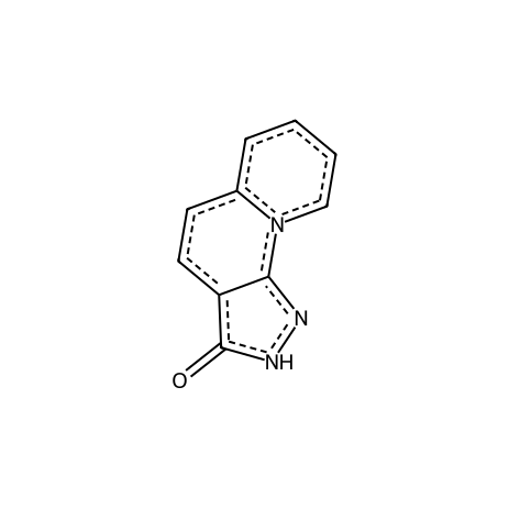 O=c1[nH]nc2n3ccccc3ccc1-2